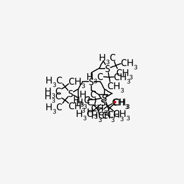 CC(C)(C)S1(C(C)(C)C)CC1CS(CC1CS1(C(C)(C)C)C(C)(C)C)(CC1CS1(C(C)(C)C)C(C)(C)C)CC1CS1(C(C)(C)C)C(C)(C)C